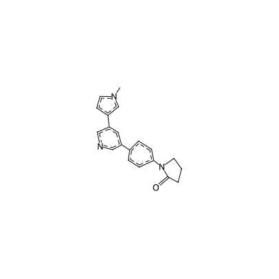 Cn1ccc(-c2cncc(-c3ccc(N4CCCC4=O)cc3)c2)c1